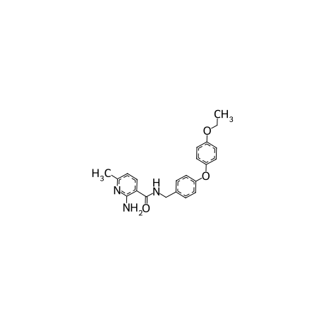 CCOc1ccc(Oc2ccc(CNC(=O)c3ccc(C)nc3N)cc2)cc1